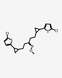 CON=C(CCC1CC1c1ccc(Cl)s1)CCC1CC1c1ccc(Cl)s1